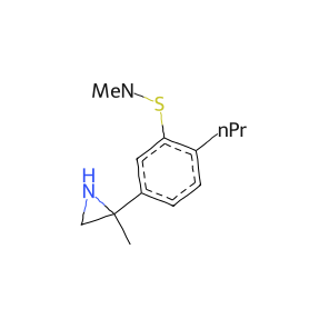 CCCc1ccc(C2(C)CN2)cc1SNC